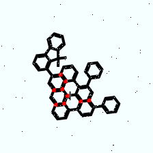 CC1(C)c2ccccc2-c2cccc(-c3ccc(N(c4ccccc4-c4ccc(-c5ccccc5)cc4)c4cccc(-c5ccccc5)c4-c4ccccc4-c4ccccc4)cc3)c21